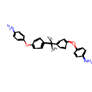 CCCC(CC)(c1ccc(Oc2ccc(N)cc2)cc1)c1ccc(Oc2ccc(N)cc2)cc1